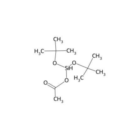 CC(=O)O[SiH](OC(C)(C)C)OC(C)(C)C